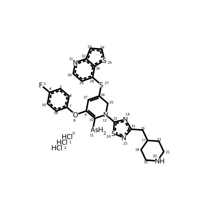 Cl.Cl.Cl.Fc1ccc(OC2=C([AsH2])N(c3nc(CC4CCNCC4)ns3)CC(Sc3ccnc4ccsc34)=C2)cc1